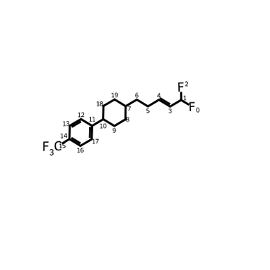 FC(F)/C=C/CCC1CCC(c2ccc(C(F)(F)F)cc2)CC1